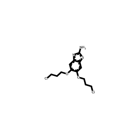 Nc1nc2cc(OCCCCl)c(OCCCCl)cc2s1